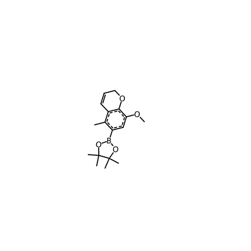 COc1cc(B2OC(C)(C)C(C)(C)O2)c(C)c2c1OCC=C2